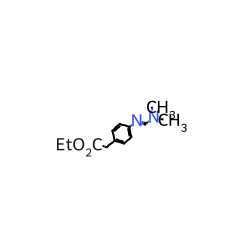 CCOC(=O)Cc1ccc(N=CN(C)C)cc1